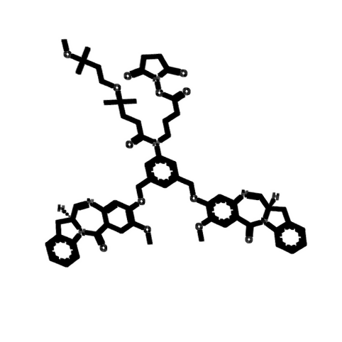 COC1=C(OCc2cc(COc3cc4c(cc3OC)C(=O)N3c5ccccc5C[C@H]3C=N4)cc(N(CCCC(=O)ON3C(=O)CCC3=O)C(=O)CCC(C)(C)OCCC(C)(C)OC)c2)C=C2N=C[C@@H]3Cc4ccccc4N3C(=O)C2C1